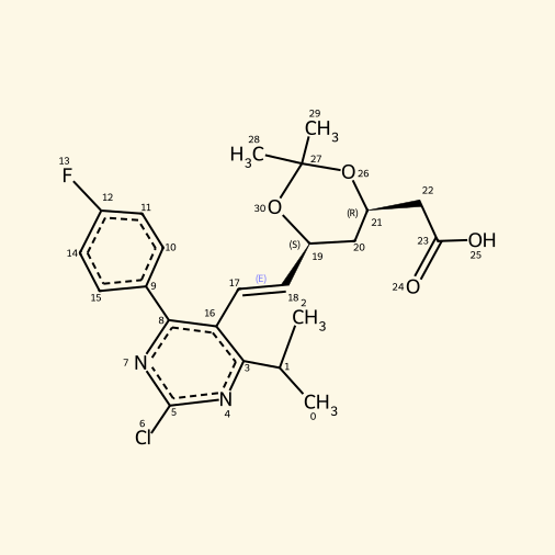 CC(C)c1nc(Cl)nc(-c2ccc(F)cc2)c1/C=C/[C@@H]1C[C@H](CC(=O)O)OC(C)(C)O1